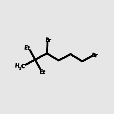 CCC(C)(CC)C(Br)CCCBr